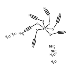 N#C[S][Fe-3]([S]C#N)([S]C#N)([S]C#N)([S]C#N)[S]C#N.O.O.O.O.[NH4+].[NH4+].[NH4+]